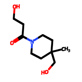 CC1(CO)CCN(C(=O)CCO)CC1